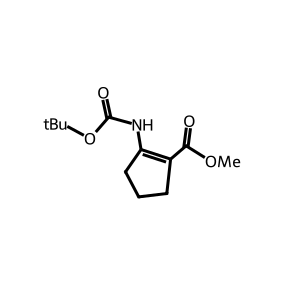 COC(=O)C1=C(NC(=O)OC(C)(C)C)CCC1